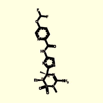 CC[C@H]1[C@@](C)(c2nc(NC(=O)c3ccc(OC(F)F)cn3)cs2)N=C(N)N(C)S1(=O)=O